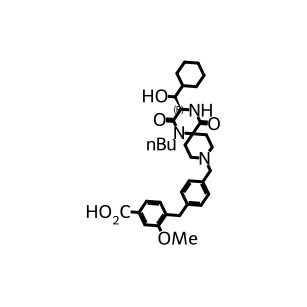 CCCCN1C(=O)[C@@H](C(O)C2CCCCC2)NC(=O)C12CCN(Cc1ccc(Cc3ccc(C(=O)O)cc3OC)cc1)CC2